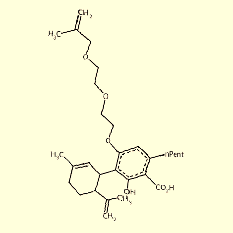 C=C(C)COCCOCCOc1cc(CCCCC)c(C(=O)O)c(O)c1C1C=C(C)CCC1C(=C)C